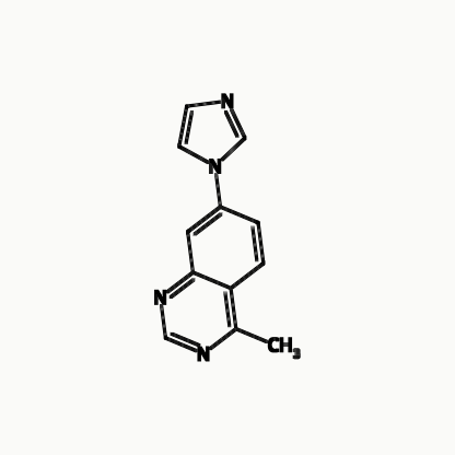 Cc1ncnc2cc(-n3ccnc3)ccc12